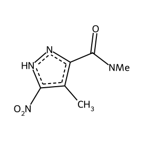 CNC(=O)c1n[nH]c([N+](=O)[O-])c1C